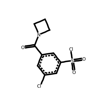 O=C(c1cc(Cl)cc(S(=O)(=O)Cl)c1)N1CCC1